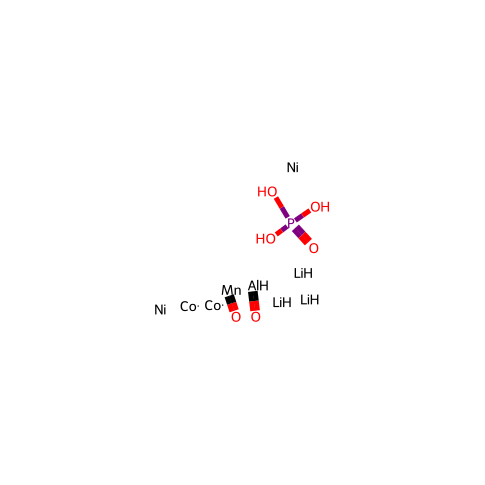 O=P(O)(O)O.[Co].[Co].[LiH].[LiH].[LiH].[Ni].[Ni].[O]=[AlH].[O]=[Mn]